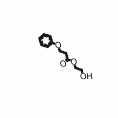 O=C(CCOc1ccccc1)OCCO